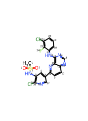 CS(=O)(=O)Nc1cc(-c2ccc3ncnc(Nc4cccc(Cl)c4F)c3n2)cnc1Cl